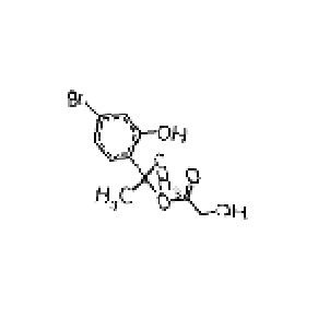 CC(C)(OC(=O)CO)c1ccc(Br)cc1O